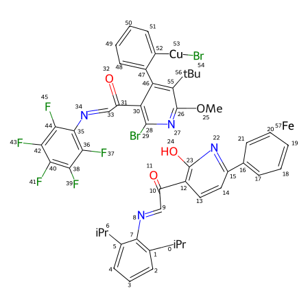 CC(C)c1cccc(C(C)C)c1N=CC(=O)c1ccc(-c2ccccc2)nc1O.COc1nc(Br)c(C(=O)C=Nc2c(F)c(F)c(F)c(F)c2F)c(-c2cccc[c]2[Cu][Br])c1C(C)(C)C.[Fe]